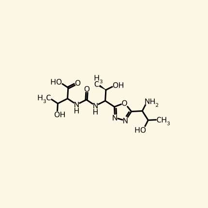 CC(O)C(NC(=O)NC(c1nnc(C(N)C(C)O)o1)[C@@H](C)O)C(=O)O